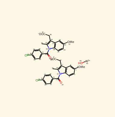 COc1ccc2c(c1)c(CC(=O)[O-])c(C)n2C(=O)c1ccc(Cl)cc1.COc1ccc2c(c1)c(CC(=O)[O-])c(C)n2C(=O)c1ccc(Cl)cc1.[OH][Al+2]